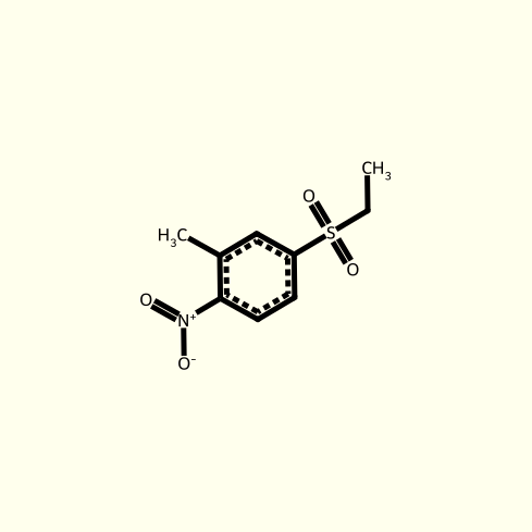 CCS(=O)(=O)c1ccc([N+](=O)[O-])c(C)c1